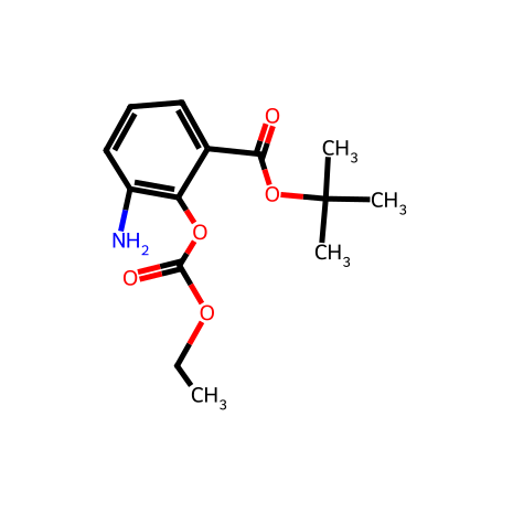 CCOC(=O)Oc1c(N)cccc1C(=O)OC(C)(C)C